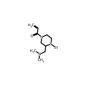 C=CC(=O)N1CCN(CC)C(CN(C)C)C1